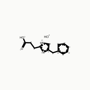 Cl.O=C(O)CCc1nc(Cc2ccccc2)c[nH]1